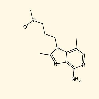 Cc1cnc(N)c2nc(C)n(CCC[S+](C)[O-])c12